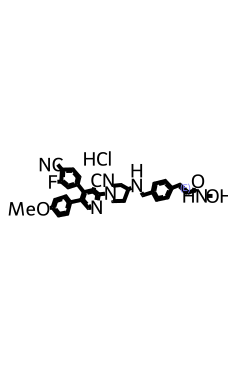 COc1ccc(-c2cnc(N3CCC(NCc4ccc(/C=C/C(=O)NO)cc4)CC3)c(C#N)c2-c2ccc(C#N)c(F)c2)cc1.Cl